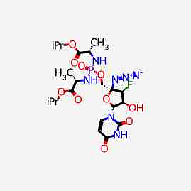 CC(C)OC(=O)[C@H](C)NP(=O)(N[C@@H](C)C(=O)OC(C)C)OC[C@@]1(N=[N+]=[N-])O[C@@H](n2ccc(=O)[nH]c2=O)[C@H](O)[C@@H]1F